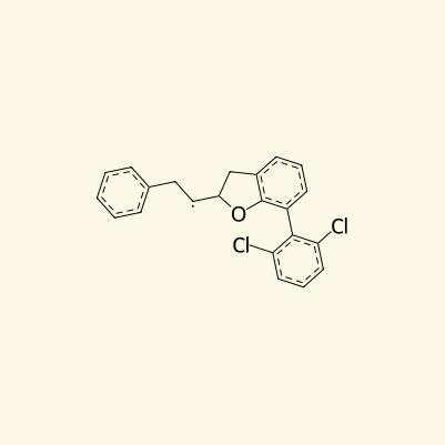 Clc1cccc(Cl)c1-c1cccc2c1OC([CH]Cc1ccccc1)C2